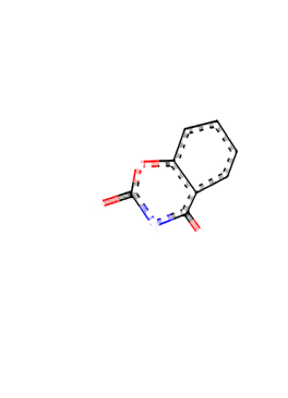 Cl.O=c1[nH]c(=O)c2ccccc2o1